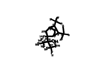 CC(C)(C)C1C2CC(C1C(C)(C)C)C(F)(C(O)(C(F)(F)F)C(F)(F)F)C2